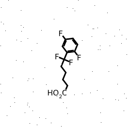 O=C(O)CCCCC(F)(F)c1cc(F)ccc1F